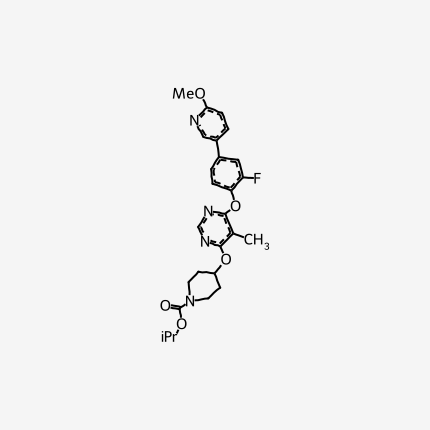 COc1ccc(-c2ccc(Oc3ncnc(OC4CCN(C(=O)OC(C)C)CC4)c3C)c(F)c2)cn1